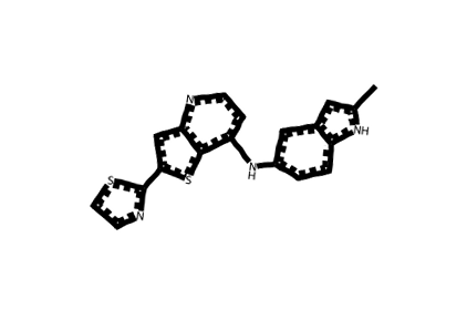 Cc1cc2cc(Nc3ccnc4cc(-c5nccs5)sc34)ccc2[nH]1